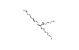 CCCCC/C=C/SCC(CSCCCCC)SCCCCC